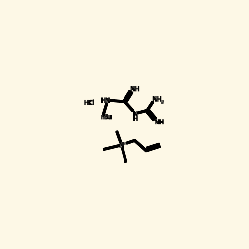 C=CC[N+](C)(C)C.CCCCNC(=N)NC(=N)N.Cl